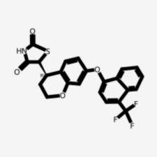 O=C1NC(=O)C([C@@H]2CCOc3cc(Oc4ccc(C(F)(F)F)c5ccccc45)ccc32)S1